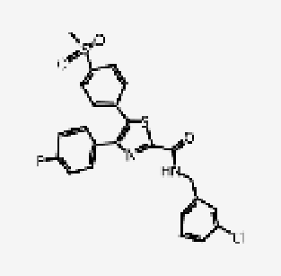 CS(=O)(=O)c1ccc(-c2sc(C(=O)NCc3cccc(Cl)c3)nc2-c2ccc(F)cc2)cc1